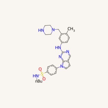 CCCCNS(=O)(=O)c1ccc(-n2ccc3cnc(Nc4ccc(C)c(CN5CCNCC5)c4)nc32)cc1